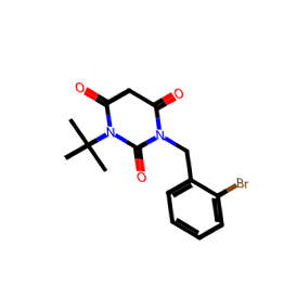 CC(C)(C)N1C(=O)CC(=O)N(Cc2ccccc2Br)C1=O